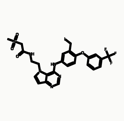 CS(=O)(=O)CC(=O)NCCn1ccc2ncnc(Nc3ccc(Oc4cccc(C(F)(F)F)c4)c(CI)c3)c21